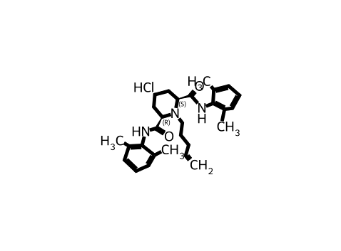 C=CCCCN1[C@@H](C(=O)Nc2c(C)cccc2C)CCC[C@H]1C(=O)Nc1c(C)cccc1C.Cl